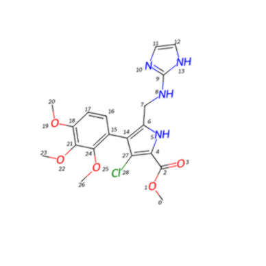 COC(=O)c1[nH]c(CNc2ncc[nH]2)c(-c2ccc(OC)c(OC)c2OC)c1Cl